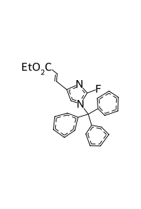 CCOC(=O)C=Cc1cn(C(c2ccccc2)(c2ccccc2)c2ccccc2)c(F)n1